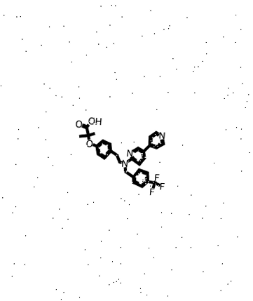 CC(C)(Oc1ccc(CCN(Cc2ccc(C(F)(F)F)cc2)c2ccc(-c3ccncc3)cn2)cc1)C(=O)O